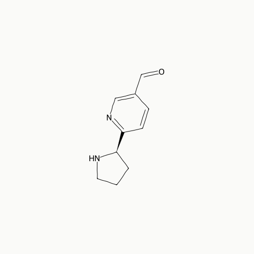 O=Cc1ccc([C@H]2CCCN2)nc1